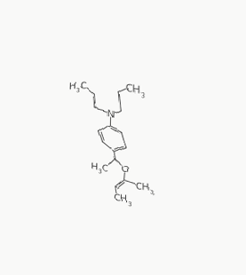 CC=C(C)OC(C)c1ccc(N(CCC)CCC)cc1